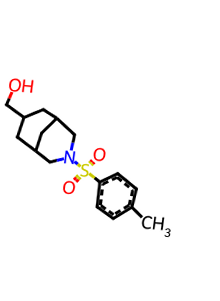 Cc1ccc(S(=O)(=O)N2CC3CC(CO)CC(C3)C2)cc1